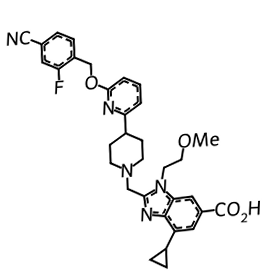 COCCn1c(CN2CCC(c3cccc(OCc4ccc(C#N)cc4F)n3)CC2)nc2c(C3CC3)cc(C(=O)O)cc21